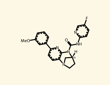 COc1cccc(-c2ccc3c(n2)N(C(=O)Nc2ccc(F)cn2)[C@@H]2CCN3C2)c1